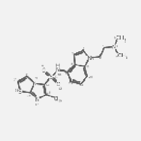 CN(C)CCn1ccc2c(NS(=O)(=O)c3c(Cl)nc4sccn34)cccc21